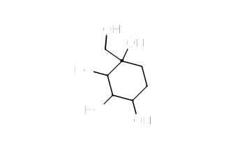 OCC1(O)C[CH]C(O)C(O)C1O